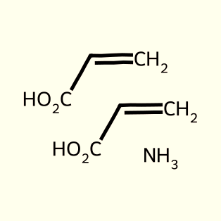 C=CC(=O)O.C=CC(=O)O.N